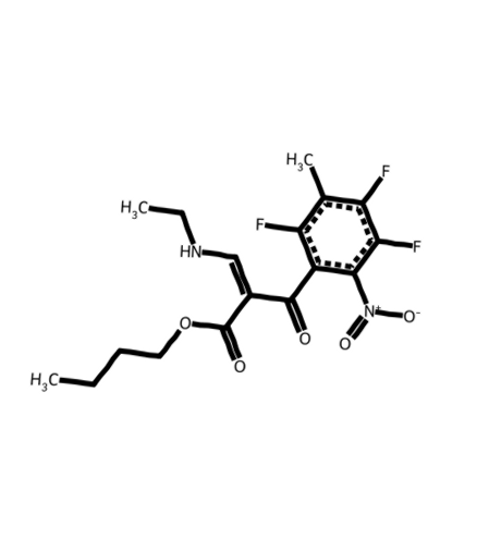 CCCCOC(=O)C(=CNCC)C(=O)c1c(F)c(C)c(F)c(F)c1[N+](=O)[O-]